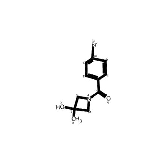 CC1(O)CN(C(=O)c2ccc(Br)cc2)C1